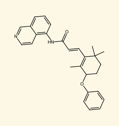 CC1=C(C=CC(=O)Nc2cccc3cnccc23)C(C)(C)CCC1Oc1ccccc1